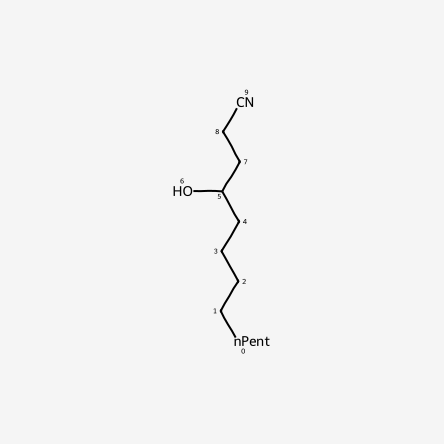 CCCCCCCCCC(O)CCC#N